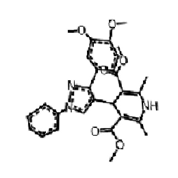 COC(=O)C1=C(C)NC(C)=C(C(=O)OC)C1c1cn(-c2ccccc2)nc1-c1ccc(OC)c(OC)c1